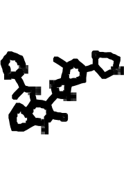 Cc1cc(C2CNCCO2)cc2[nH]c(-c3c(NC(C)c4ncccn4)c4ccccc4[nH]c3=O)nc12